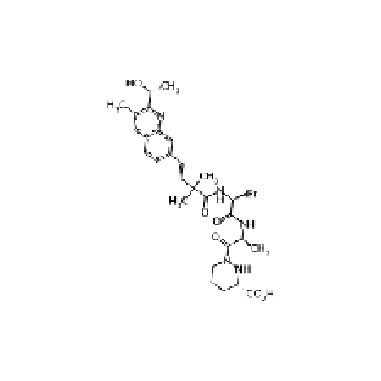 Cc1cc2ccc(/C=C/C(C)(C)C(=O)N[C@H](C(=O)N[C@@H](C)C(=O)N3CCC[C@@H](C(=O)O)N3)C(C)C)cc2nc1[C@@H](C)O